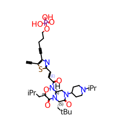 C#Cc1sc(/C=C/C(=O)N2O[C@H](CC(C)C)C(=O)N3[C@@H]2CN(C2CCN(C(C)C)CC2)C(=O)[C@@H]3CC(C)(C)C)nc1C#CCCCOP(=O)(O)O